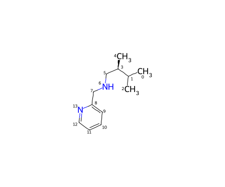 CC(C)[C@H](C)CNCc1ccccn1